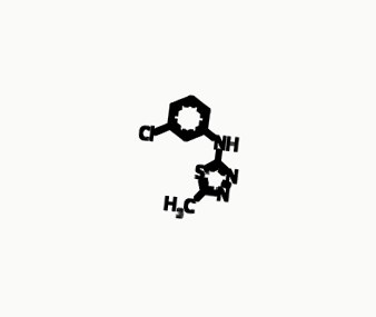 Cc1nnc(Nc2cccc(Cl)c2)s1